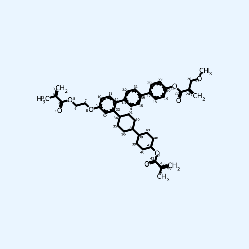 C=C(C)C(=O)OCCOc1ccc(-c2ccc(-c3ccc(OC(=O)C(=C)COC)cc3)cc2)c(C2CCC(C3CCC(OC(=O)C(=C)C)CC3)CC2)c1